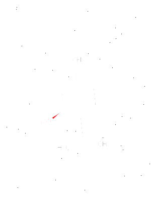 CC1CCC(C(C)C)[C@@H](O)C1